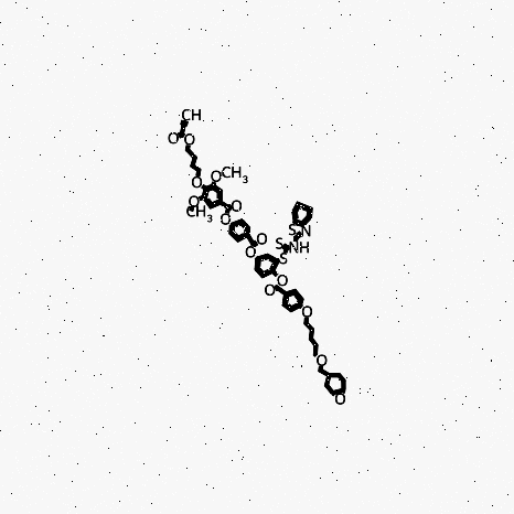 C#CC(=O)OCCCCOc1c(OC)cc(C(=O)Oc2ccc(C(=O)Oc3ccc(OC(=O)c4ccc(OCCCCCOCC5CCC6OC6C5)cc4)c(SC(=S)Nc4nc5ccccc5s4)c3)cc2)cc1OC